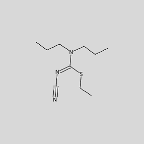 CCCN(CCC)C(=NC#N)SCC